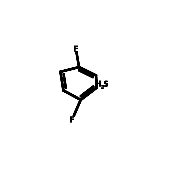 Fc1ccc(F)cc1.S